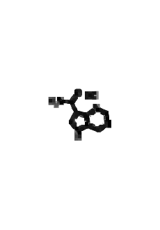 Cl.NC(=O)c1c[nH]c2cncnc12